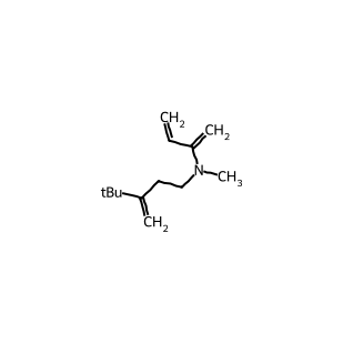 C=CC(=C)N(C)CCC(=C)C(C)(C)C